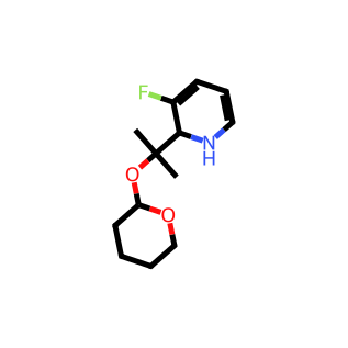 CC(C)(OC1CCCCO1)C1NC=CC=C1F